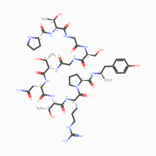 C[C@@H](O)[C@H](NC(=O)CNC(=O)[C@H](CO)NC(=O)CNC(=O)[C@@H](NC(=O)[C@@H]1CCCN1)[C@@H](C)O)C(=O)N[C@@H](CC(N)=O)C(=O)N[C@H](C(=O)N[C@@H](CCCNC(=N)N)C(=O)N1CCC[C@H]1C(=O)N[C@@H](Cc1ccc(O)cc1)C(=O)O)[C@@H](C)O